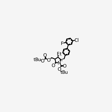 CCC1C(COC(=O)OC(C)(C)C)C(=O)N(C(=O)OC(C)(C)C)[C@@H]1Cc1ccc(-c2cc(Cl)ccc2F)cc1